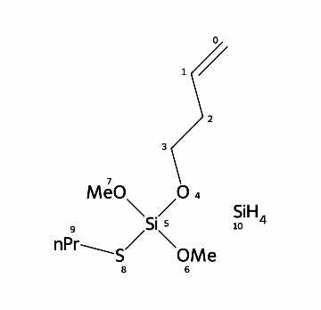 C=CCCO[Si](OC)(OC)SCCC.[SiH4]